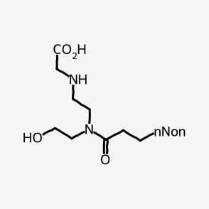 CCCCCCCCCCCC(=O)N(CCO)CCNCC(=O)O